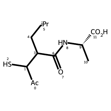 CC(=O)C(S)C(CC(C)C)C(=O)N[C@@H](C)C(=O)O